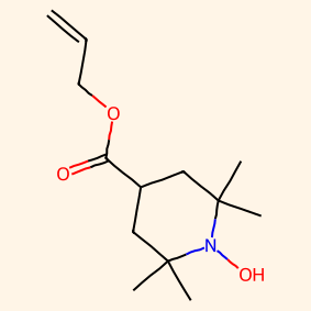 C=CCOC(=O)C1CC(C)(C)N(O)C(C)(C)C1